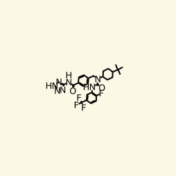 CC(C)(C)C1CCC(N(Cc2ccc(C(=O)Nc3nn[nH]n3)cc2)C(=O)Nc2cc(C(F)(F)F)ccc2F)CC1